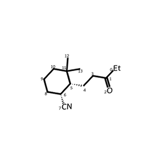 CCC(=O)CC[C@@H]1[C@H](C#N)CCCC1(C)C